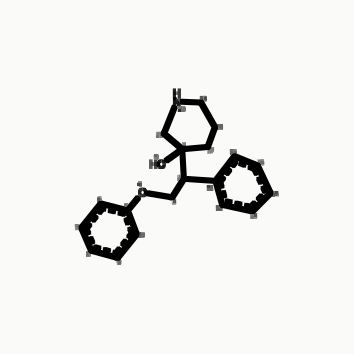 OC1(C(COc2ccccc2)c2ccccc2)CCCNC1